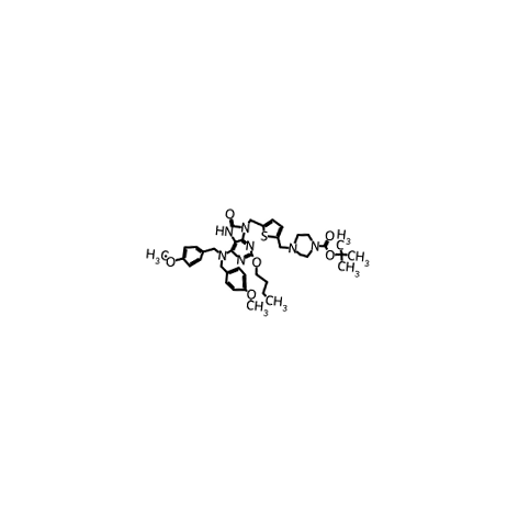 CCCCOc1nc(N(Cc2ccc(OC)cc2)Cc2ccc(OC)cc2)c2[nH]c(=O)n(Cc3ccc(CN4CCN(C(=O)OC(C)(C)C)CC4)s3)c2n1